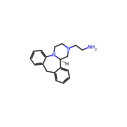 NCCN1CCN2c3ccccc3Cc3ccccc3[C@@H]2C1